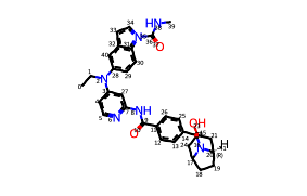 CCN(c1ccnc(NC(=O)c2ccc(CN3C4CC[C@@H]3C[C@H](O)C4)cc2)c1)c1ccc2c(ccn2C(=O)NC)c1